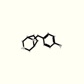 Brc1ccc(CN2C3CCC2COC3)cc1